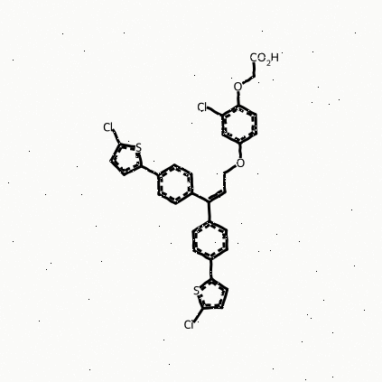 O=C(O)COc1ccc(OCC=C(c2ccc(-c3ccc(Cl)s3)cc2)c2ccc(-c3ccc(Cl)s3)cc2)cc1Cl